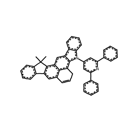 CC1(C)c2ccccc2-c2cc3c4c(c5c(cc4c21)c1ccccc1n5-c1cc(-c2ccccc2)nc(-c2ccccc2)c1)CC=C3